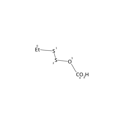 CCSSOC(=O)O